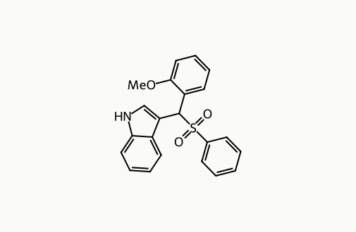 COc1ccccc1C(c1c[nH]c2ccccc12)S(=O)(=O)c1ccccc1